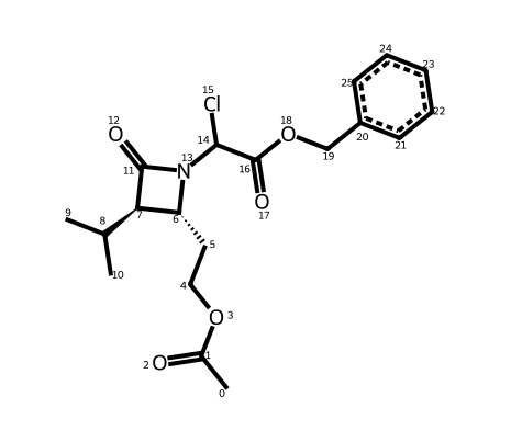 CC(=O)OCC[C@@H]1[C@@H](C(C)C)C(=O)N1C(Cl)C(=O)OCc1ccccc1